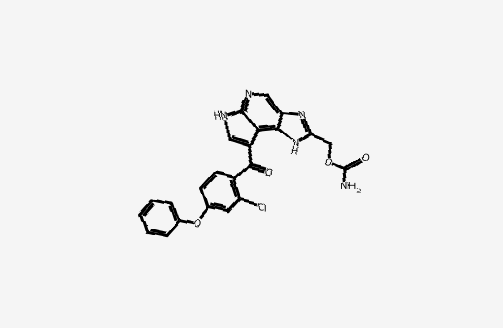 NC(=O)OCc1nc2cnc3[nH]cc(C(=O)c4ccc(Oc5ccccc5)cc4Cl)c3c2[nH]1